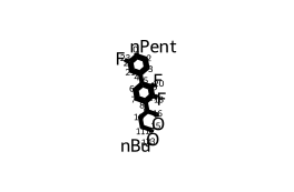 CCCCCc1ccc(-c2ccc(C3CCC(OCCCC)OC3)c(F)c2F)cc1F